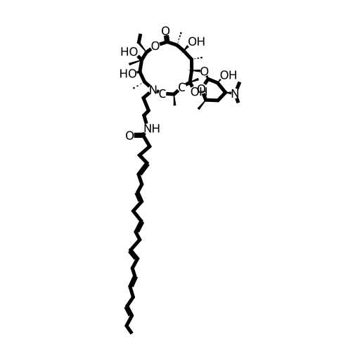 CCC=CCC=CCC=CCC=CCC=CCC=CCCC(=O)NCCCN1C[C@H](C)C[C@@](C)(O)[C@H](O[C@@H]2O[C@H](C)C[C@H](N(C)C)[C@H]2O)[C@@H](C)[C@H](O)[C@@H](C)C(=O)O[C@H](CC)[C@@](C)(O)[C@H](O)[C@H]1C